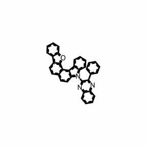 c1ccc(-c2nc3ccccc3nc2-n2c3ccccc3c3c4c(ccc5c6ccccc6oc54)ccc32)cc1